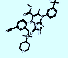 COC(=O)C1=C(C)N(c2cccc(C(F)(F)F)c2)c2n[nH]c(=O)n2[C@@H]1c1ccc(C#N)cc1C[N+](C)(C)C1CCOCC1